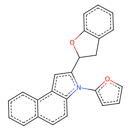 c1coc(-n2c(C3Cc4ccccc4O3)cc3c4ccccc4ccc32)c1